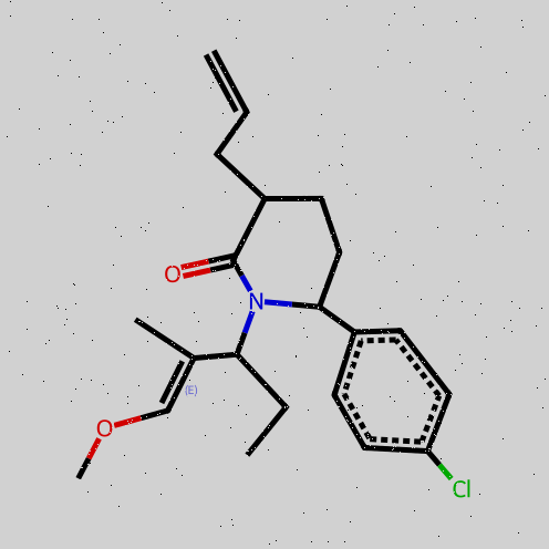 C=CCC1CCC(c2ccc(Cl)cc2)N(C(CC)/C(C)=C/OC)C1=O